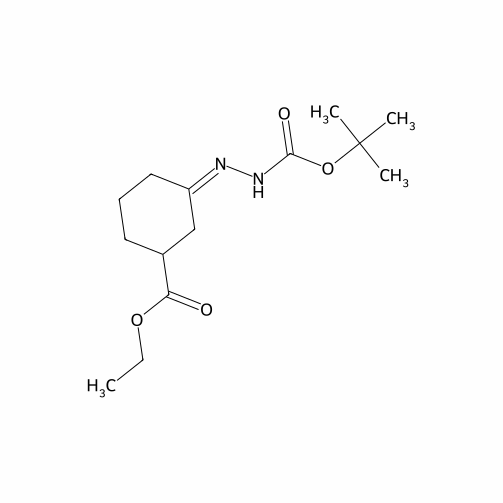 CCOC(=O)C1CCCC(=NNC(=O)OC(C)(C)C)C1